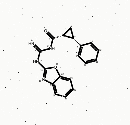 N=C(NC(=O)[C@@H]1C[C@@H]1c1ccccc1)Nc1nc2ccccc2o1